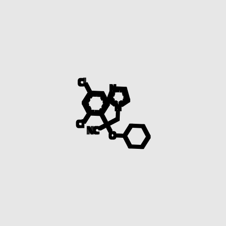 N#CC(Cn1ccnc1)(OC1CCCCC1)c1ccc(Cl)cc1Cl